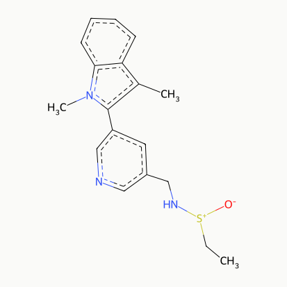 CC[S+]([O-])NCc1cncc(-c2c(C)c3ccccc3n2C)c1